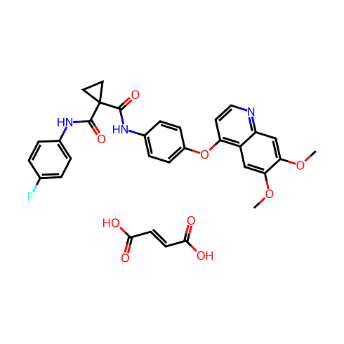 COc1cc2nccc(Oc3ccc(NC(=O)C4(C(=O)Nc5ccc(F)cc5)CC4)cc3)c2cc1OC.O=C(O)/C=C/C(=O)O